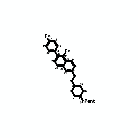 CCCCCC1CCC(CCc2ccc3c(F)c(-c4ccc(F)cc4)ccc3c2)CC1